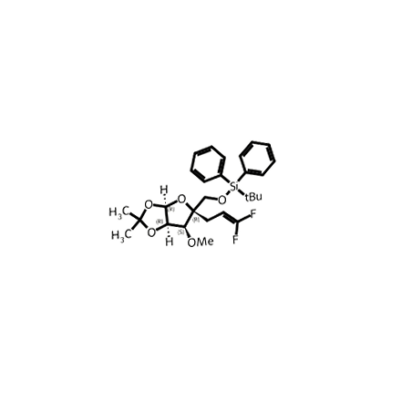 CO[C@H]1[C@H]2OC(C)(C)O[C@H]2O[C@]1(CC=C(F)F)CO[Si](c1ccccc1)(c1ccccc1)C(C)(C)C